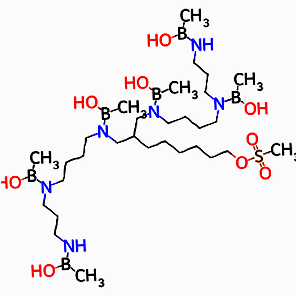 CB(O)NCCCN(CCCCN(CC(CCCCCCOS(C)(=O)=O)CN(CCCCN(CCCNB(C)O)B(C)O)B(C)O)B(C)O)B(C)O